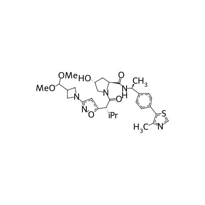 COC(OC)C1CN(c2cc([C@H](C(=O)N3C[C@H](O)C[C@H]3C(=O)N[C@@H](C)c3ccc(-c4scnc4C)cc3)C(C)C)on2)C1